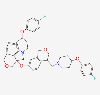 Fc1ccc(OC2CCN(CC3COCc4cc(OC5(CN6CCC(Oc7ccc(F)cc7)CC6)COCc6ccccc65)ccc43)CC2)cc1